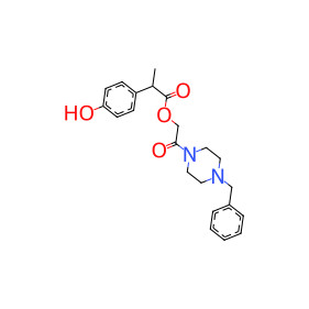 CC(C(=O)OCC(=O)N1CCN(Cc2ccccc2)CC1)c1ccc(O)cc1